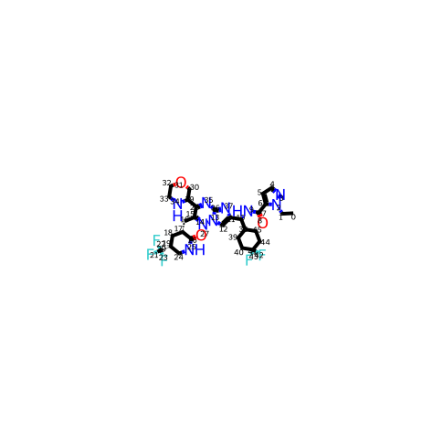 CCn1nccc1C(=O)N[C@H](c1cn2nc(C[C@H]3C[C@@H](C(F)(F)F)CNC3=O)c(C3COCCN3)nc2n1)C1CCC(F)(F)CC1